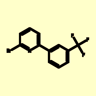 FC(F)(F)c1cccc(-c2cccc(Br)n2)c1